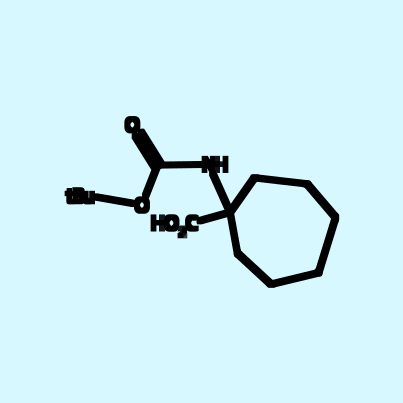 CC(C)(C)OC(=O)NC1(C(=O)O)CCCCCC1